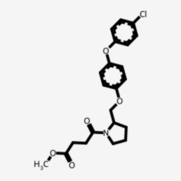 COC(=O)CCC(=O)N1CCCC1COc1ccc(Oc2ccc(Cl)cc2)cc1